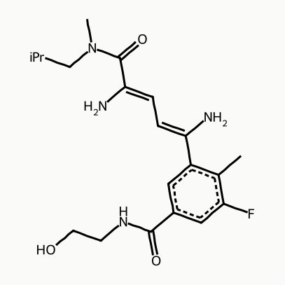 Cc1c(F)cc(C(=O)NCCO)cc1/C(N)=C/C=C(\N)C(=O)N(C)CC(C)C